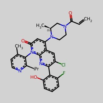 C=CC(=O)N1CCN(c2cc(=O)n(-c3c(C)ccnc3C(C)C)c3nc(-c4c(O)cccc4F)c(Cl)cc23)[C@@H](C)C1